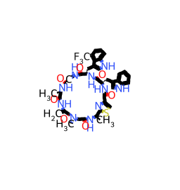 C=C1NC(=O)[C@@H](C)NC(=O)CNC(=O)[C@H](Cc2c[nH]c3cccc(C(F)(F)F)c23)NC(=O)[C@H](Cc2c[nH]c3ccccc23)NC(=O)c2csc(n2)[C@@H](C)NC(=O)CN(C)C1=O